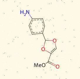 COC(=O)C1=COC(c2ccc(N)cc2)O1